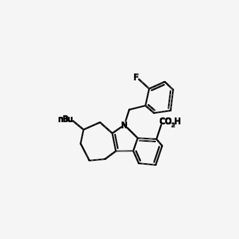 CCCCC1CCCc2c(n(Cc3ccccc3F)c3c(C(=O)O)cccc23)C1